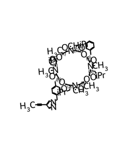 CC#Cc1cnn(Cc2ccc(C[C@H]3OC(=O)[C@H](CC(C)C)N(C)C(=O)[C@@H](C)OC(=O)[C@H](CC(C)C)N(C)C(=O)[C@@H](Cc4ccccc4)OC(=O)[C@H](CC(C)C)N(C)C(=O)[C@@H](C)OC(=O)[C@H](CC(C)C)N(C)C3=O)cc2)c1